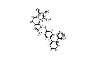 CCCc1nc2c(n1Cc1ccc(-c3ccccc3-c3nnn[nH]3)cc1)C1C(O)=C(C(C)=O)C(=O)N1CC2